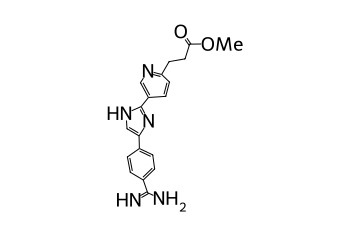 COC(=O)CCc1ccc(-c2nc(-c3ccc(C(=N)N)cc3)c[nH]2)cn1